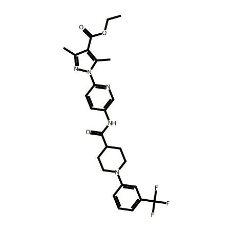 CCOC(=O)c1c(C)nn(-c2ccc(NC(=O)C3CCN(c4cccc(C(F)(F)F)c4)CC3)cn2)c1C